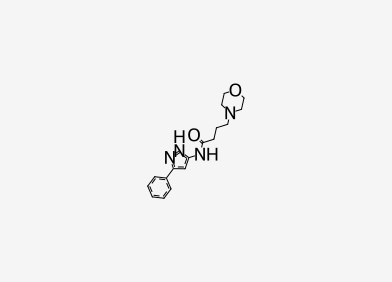 O=C(CCCN1CCOCC1)Nc1cc(-c2ccccc2)n[nH]1